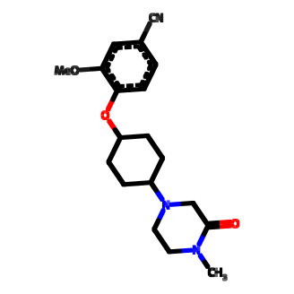 COc1cc(C#N)ccc1OC1CCC(N2CCN(C)C(=O)C2)CC1